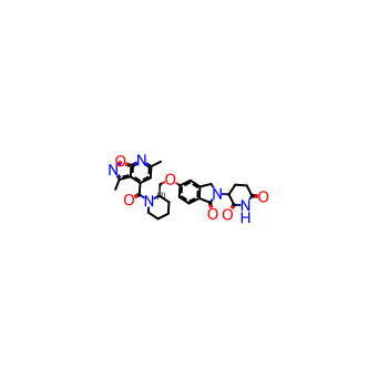 Cc1cc(C(=O)N2CCCC[C@@H]2COc2ccc3c(c2)CN(C2CCC(=O)NC2=O)C3=O)c2c(C)noc2n1